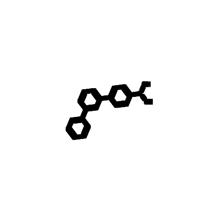 OB(O)c1ccc(-c2cccc(-c3ccccc3)c2)cc1